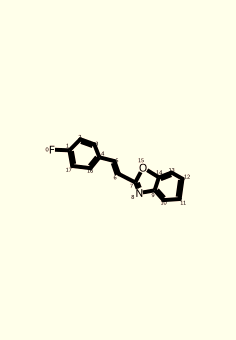 Fc1ccc(C=Cc2nc3ccccc3o2)cc1